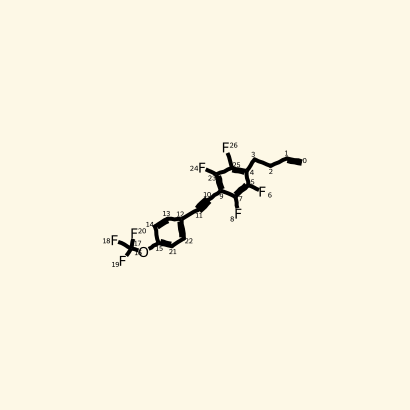 C=CCCc1c(F)c(F)c(C#Cc2ccc(OC(F)(F)F)cc2)c(F)c1F